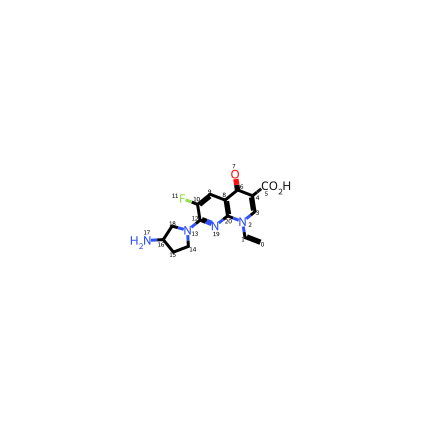 C=Cn1cc(C(=O)O)c(=O)c2cc(F)c(N3CCC(N)C3)nc21